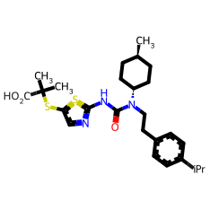 CC(C)c1ccc(CCN(C(=O)Nc2ncc(SC(C)(C)C(=O)O)s2)[C@H]2CC[C@H](C)CC2)cc1